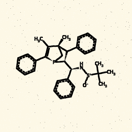 CC1=C(c2ccccc2)[P@]2C[C@@]1(C)C(c1ccccc1)[C@@H]2[C@H](N[S+]([O-])C(C)(C)C)c1ccccc1